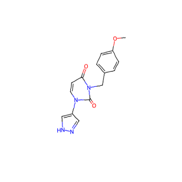 COc1ccc(Cn2c(=O)ccn(-c3cn[nH]c3)c2=O)cc1